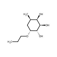 CCCO[C@@H]1C[C@@H](C)[C@@H](O)[C@@H](O)[C@@H]1O